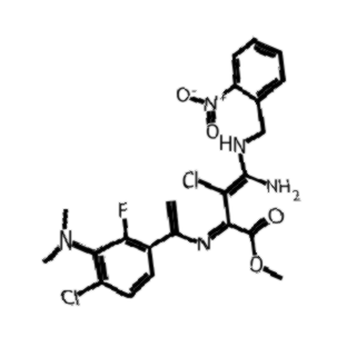 C=C(/N=C(C(=O)OC)\C(Cl)=C(/N)NCc1ccccc1[N+](=O)[O-])c1ccc(Cl)c(N(C)C)c1F